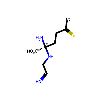 CCC(=S)CC[C@](N)(NCC=N)C(=O)O